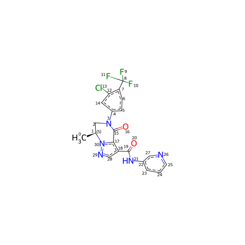 C[C@H]1CN(c2ccc(C(F)(F)F)c(Cl)c2)C(=O)c2c(C(=O)Nc3cccnc3)cnn21